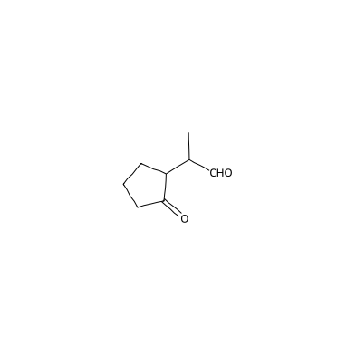 CC(C=O)C1CCCC1=O